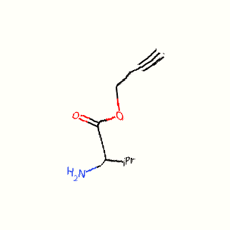 [C]#CCOC(=O)C(N)C(C)C